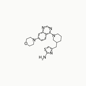 Nc1nc(CC2CCCN(c3ncnc4cc(N5CCOCC5)ccc34)C2)cs1